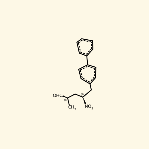 C[C@@H](C=O)C[C@@H](Cc1ccc(-c2ccccc2)cc1)[N+](=O)[O-]